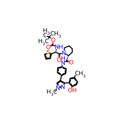 Cc1ccc(O)c(-c2nn(C)cc2-c2ccc(NC(=O)[C@@H]3CCCCN3C(=O)[C@H](NC(=O)OC(C)(C)C)c3cccs3)cc2)c1